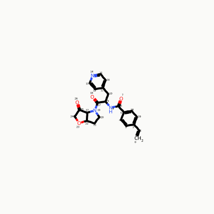 C=Cc1ccc(C(=O)NC(Cc2ccncc2)C(=O)N2CCC3OCC(=O)C32)cc1